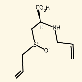 C=CCN[C@@H](C[S+]([O-])CC=C)C(=O)O